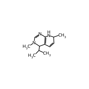 CC1C=CC2=C(N=CN(C)C2C(C)C)N1